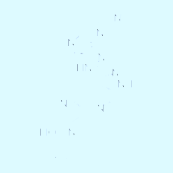 CN1CCN(c2cncc3[nH]c(-c4n[nH]c5cnc(-c6cncc(NC(O)C7CC7)c6)cc45)nc23)CC1